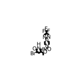 CC(ONC(=O)N1CCN(c2ncc(C(F)(F)F)cn2)CC1)c1c[nH]c(=O)c(Br)c1